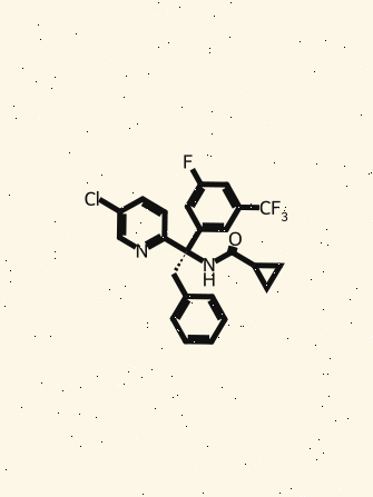 O=C(N[C@](Cc1ccccc1)(c1cc(F)cc(C(F)(F)F)c1)c1ccc(Cl)cn1)C1CC1